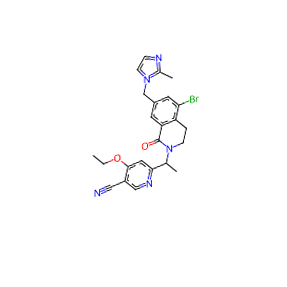 CCOc1cc(C(C)N2CCc3c(Br)cc(Cn4ccnc4C)cc3C2=O)ncc1C#N